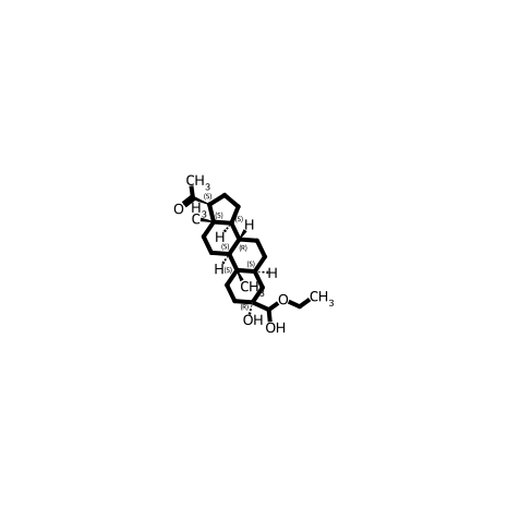 CCOC(O)[C@@]1(O)CC[C@@]2(C)[C@@H](CC[C@@H]3[C@@H]2CC[C@]2(C)[C@@H](C(C)=O)CC[C@@H]32)C1